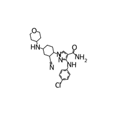 N#CC1CC(NC2CCOCC2)CCC1n1cc(C(N)=O)c(Nc2ccc(Cl)cc2)n1